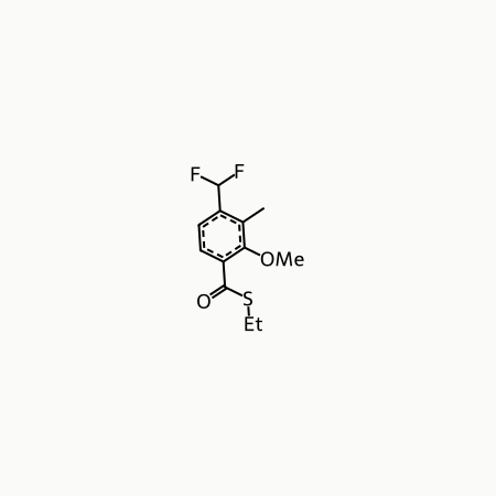 CCSC(=O)c1ccc(C(F)F)c(C)c1OC